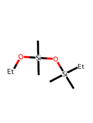 CCO[Si](C)(C)O[Si](C)(C)CC